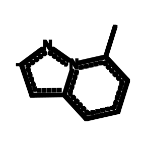 Cc1cccc2c[c]nn12